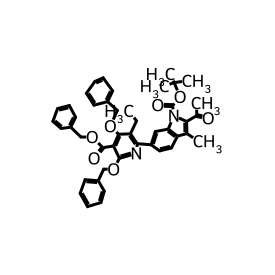 CCc1c(-c2ccc3c(C)c(C(C)=O)n(C(=O)OC(C)(C)C)c3c2)nc(OCc2ccccc2)c(C(=O)OCc2ccccc2)c1OCc1ccccc1